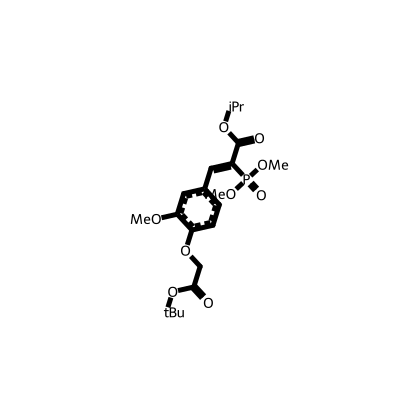 COc1cc(C=C(C(=O)OC(C)C)P(=O)(OC)OC)ccc1OCC(=O)OC(C)(C)C